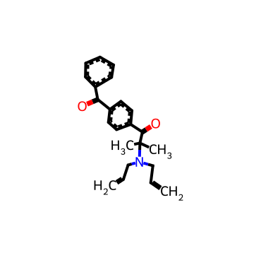 C=CCN(CC=C)C(C)(C)C(=O)c1ccc(C(=O)c2ccccc2)cc1